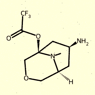 CN1[C@@H]2COC[C@]1(OC(=O)C(F)(F)F)C[C@@H](N)C2